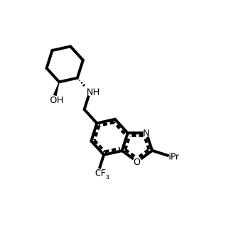 CC(C)c1nc2cc(CN[C@H]3CCCC[C@@H]3O)cc(C(F)(F)F)c2o1